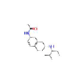 CCC(NC1CCc2ccc(NC(C)=O)cc2C1)C(C)C